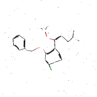 C[C@H]([C@H](O)C=C(O[SiH](C)C)c1ccc(F)cc1OCc1ccccc1)C(C)(C)C